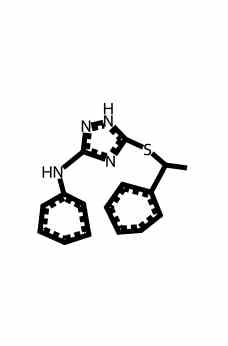 CC(Sc1nc(Nc2ccccc2)n[nH]1)c1ccccc1